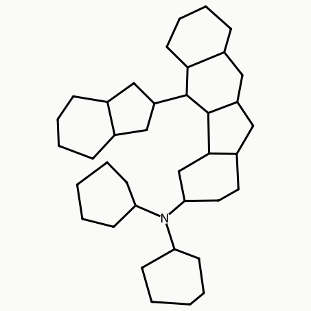 C1CCC(N(C2CCCCC2)C2CCC3CC4CC5CCCCC5C(C5CC6CCCCC6C5)C4C3C2)CC1